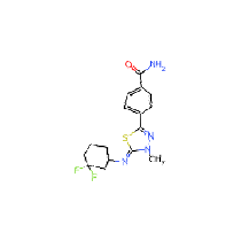 Cn1nc(-c2ccc(C(N)=O)cc2)sc1=NC1CCCC(F)(F)C1